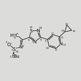 CC(=N[S@+]([O-])C(C)(C)C)c1nc(-c2ccnc(C3CC3)c2)ns1